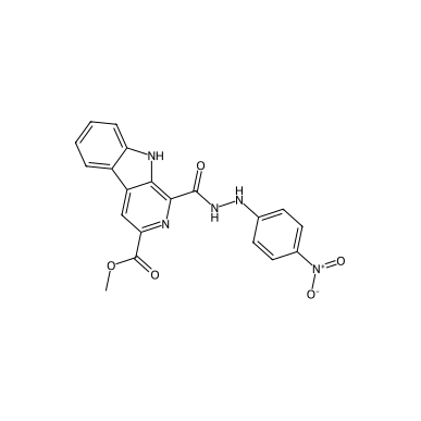 COC(=O)c1cc2c([nH]c3ccccc32)c(C(=O)NNc2ccc([N+](=O)[O-])cc2)n1